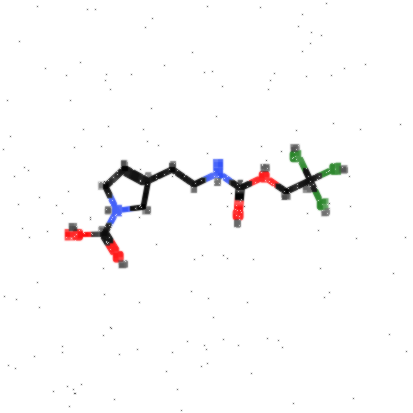 O=C(NCCC1=CCN(C(=O)O)C1)OCC(Cl)(Cl)Cl